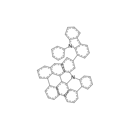 c1ccc(-c2ccccc2N(c2cccc(-c3cccc4c5ccccc5n(-c5ccccc5)c34)c2)c2ccccc2-c2cccc3cccc(-c4ccccc4)c23)cc1